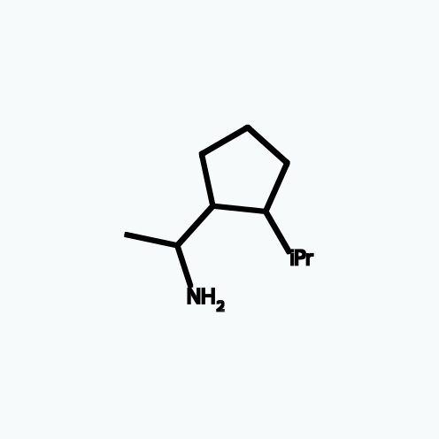 CC(C)C1CCCC1C(C)N